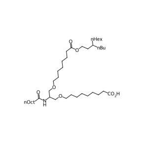 CCCCCCCCC(=O)NC(COCCCCCCCCC(=O)O)COCCCCCCCC(=O)OCCC(CCCC)CCCCCC